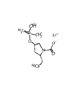 C=P(C)(O)OC1CC(CO)N(C(=O)[O-])C1.[Li+]